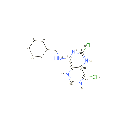 Clc1nc(NCC2CCCCC2)c2ncnc(Cl)c2n1